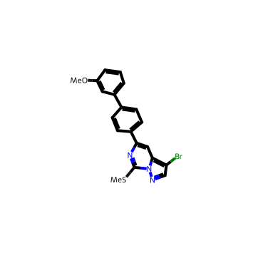 COc1cccc(-c2ccc(-c3cc4c(Br)cnn4c(SC)n3)cc2)c1